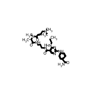 CCCNc1nc(Nc2ccc(C(N)=O)cc2)ncc1C(=O)NCCCNC(=O)[C@H](C)N(C)C(=O)C=CCN(C)C